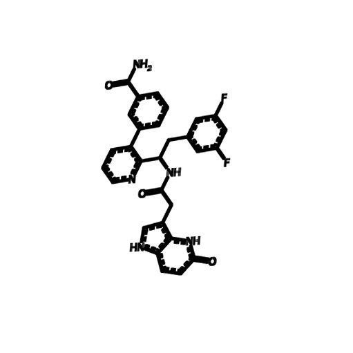 NC(=O)c1cccc(-c2cccnc2C(Cc2cc(F)cc(F)c2)NC(=O)Cc2c[nH]c3ccc(=O)[nH]c23)c1